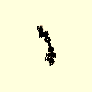 FC1(F)CN[C@H](c2ncc(-c3ccc(C#Cc4ccc(-c5cnc([C@@H]6CC(F)(F)CN6)[nH]5)cc4)cc3)[nH]2)C1